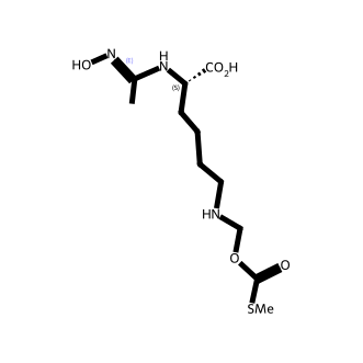 CSC(=O)OCNCCCC[C@H](N/C(C)=N/O)C(=O)O